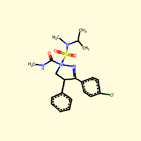 CNC(=O)[N+]1(S(=O)(=O)N(C)C(C)C)CC(c2ccccc2)C(c2ccc(Cl)cc2)=N1